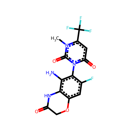 Cn1c(C(F)(F)F)cc(=O)n(-c2c(F)cc3c(c2N)NC(=O)CO3)c1=O